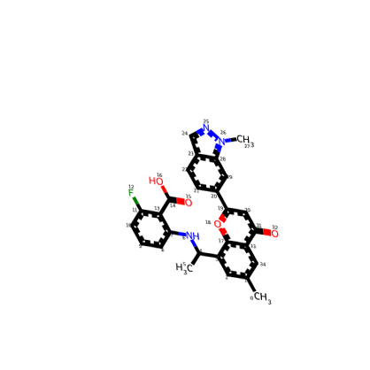 Cc1cc(C(C)Nc2cccc(F)c2C(=O)O)c2oc(-c3ccc4cnn(C)c4c3)cc(=O)c2c1